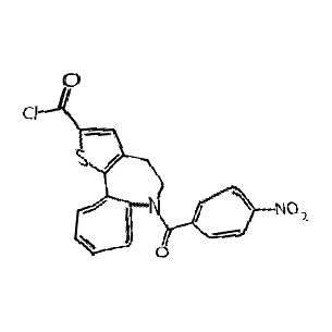 O=C(Cl)c1cc2c(s1)-c1ccccc1N(C(=O)c1ccc([N+](=O)[O-])cc1)CC2